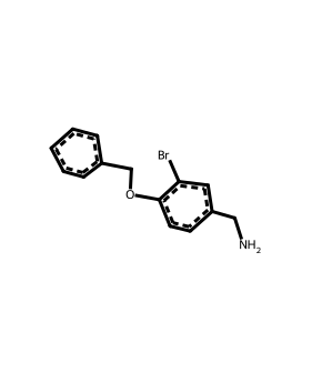 NCc1ccc(OCc2ccccc2)c(Br)c1